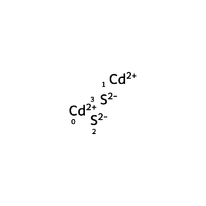 [Cd+2].[Cd+2].[S-2].[S-2]